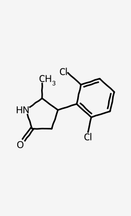 CC1NC(=O)CC1c1c(Cl)cccc1Cl